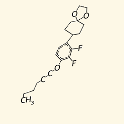 CCCCCCOc1ccc(C2CCC3(CC2)OCCO3)c(F)c1F